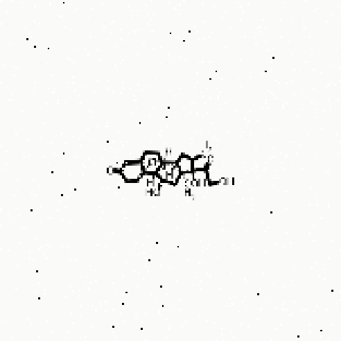 CC1C[C@H]2[C@@H]3CCC4=CC(=O)CC[C@]4(C)[C@H]3C(O)C[C@]2(C)[C@@]1(O)C(=O)CO